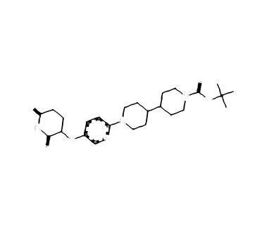 CC(C)(C)OC(=O)N1CCC(C2CCN(c3ccc(NC4CCC(=O)NC4=O)cn3)CC2)CC1